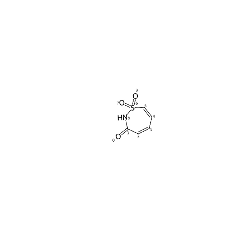 O=C1C=CC=CS(=O)(=O)N1